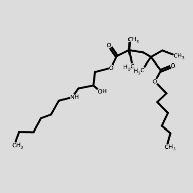 CCCCCCNCC(O)COC(=O)C(C)(C)CC(C)(CC)C(=O)OCCCCCC